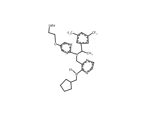 CCN(CC1CCCC1)c1nccnc1CN(c1ncc(OCCSC)cn1)C(C)c1cc(C(F)(F)F)cc(C(F)(F)F)c1